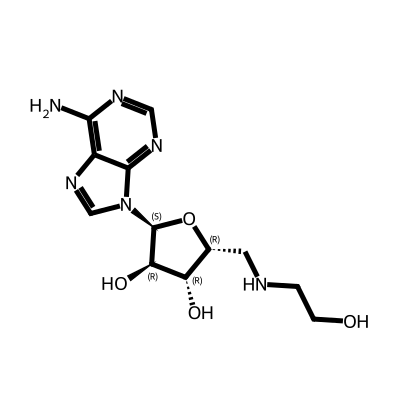 Nc1ncnc2c1ncn2[C@H]1O[C@H](CNCCO)[C@H](O)[C@H]1O